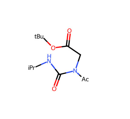 CC(=O)N(CC(=O)OC(C)(C)C)C(=O)NC(C)C